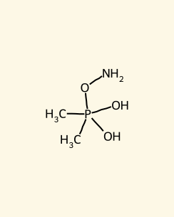 CP(C)(O)(O)ON